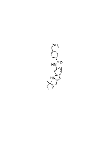 CC1(C)CCCN1Cc1cc2cnc(NC(=O)c3ccc(CN)cc3)cc2[nH]1